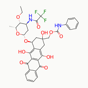 CCO[C@@H]1[C@@H](NC(=O)C(F)(F)F)C[C@H](O[C@H]2CC(O)(COC(=O)Nc3ccccc3)Cc3c(O)c4c(c(O)c32)C(=O)c2ccccc2C4=O)O[C@@H]1C